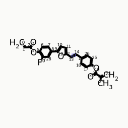 C=CC(=O)Oc1ccc(-c2ccc(/C=C/c3ccc(OC(=O)C(=C)C)cc3)o2)cc1F